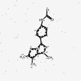 CCC(=O)Nc1ccc(-c2nn(C)c3c(C)c(C)nn23)cc1